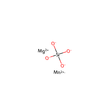 [Mg+2].[Mn+2].[O-][Si]([O-])([O-])[O-]